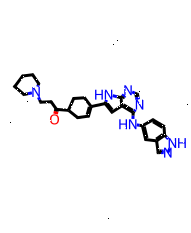 O=C(CCN1CCCCC1)C1CC=C(c2cc3c(Nc4ccc5[nH]ncc5c4)ncnc3[nH]2)CC1